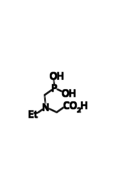 CCN(CC(=O)O)CP(O)O